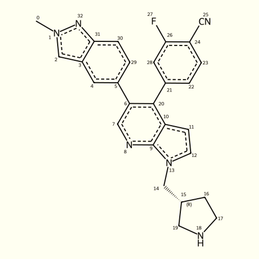 Cn1cc2cc(-c3cnc4c(ccn4C[C@@H]4CCNC4)c3-c3ccc(C#N)c(F)c3)ccc2n1